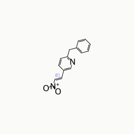 O=[N+]([O-])/C=C/c1ccc(Cc2ccccc2)nc1